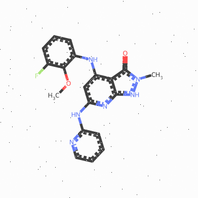 COc1c(F)cccc1Nc1cc(Nc2ccccn2)nc2[nH]n(C)c(=O)c12